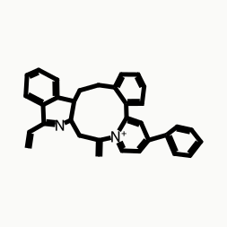 C=CC1=NC2CC(=C)[n+]3ccc(-c4ccccc4)cc3-c3ccccc3CCC2c2ccccc21